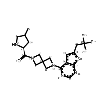 CC1CN[C@H](C(=O)N2CC3(C2)CN(c2ncnc4sc(CC(F)(F)F)cc24)C3)C1